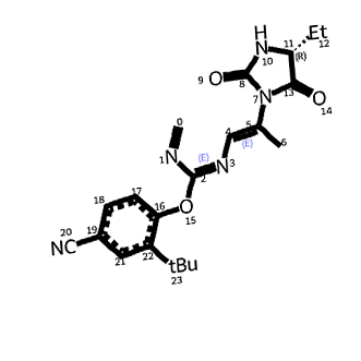 C=N/C(=N\C=C(/C)N1C(=O)N[C@H](CC)C1=O)Oc1ccc(C#N)cc1C(C)(C)C